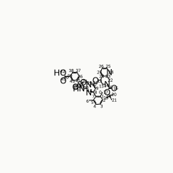 Cc1cccc(C)c1-c1cc(OC2CN(C(=O)OC(C)(C)C)Cc3ncccc32)nc(NS(=O)(=O)c2cccc(C(=O)O)c2)n1